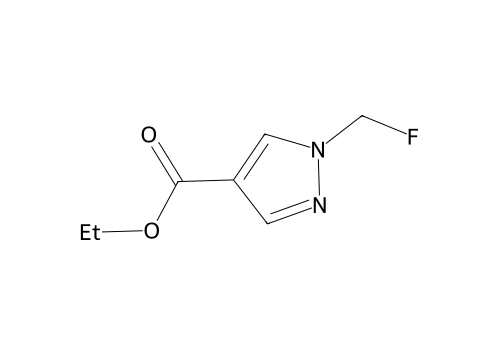 CCOC(=O)c1cnn(CF)c1